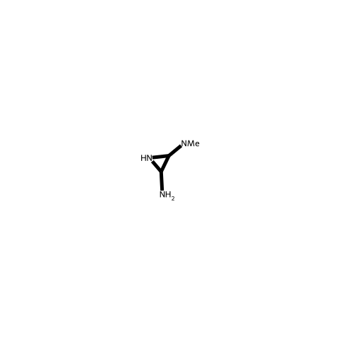 CNC1NC1N